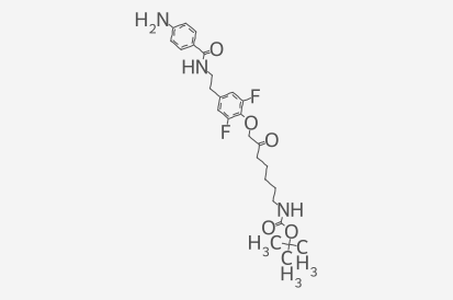 CC(C)(C)OC(=O)NCCCCCC(=O)COc1c(F)cc(CCNC(=O)c2ccc(N)cc2)cc1F